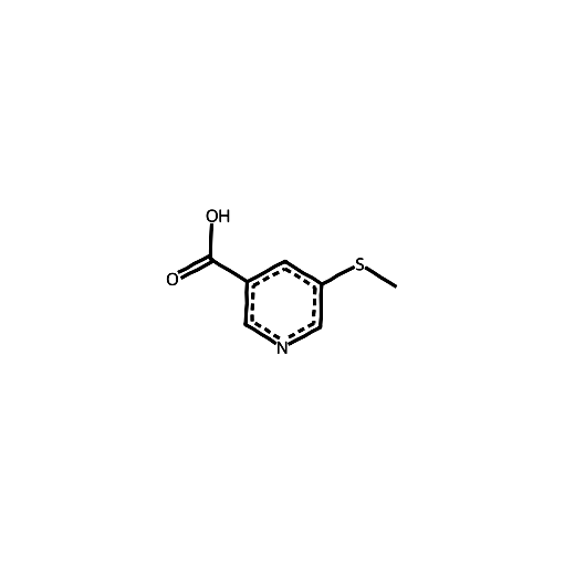 CSc1cncc(C(=O)O)c1